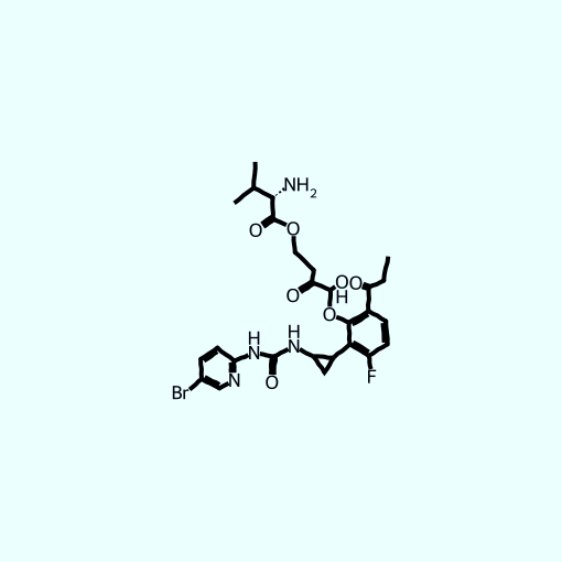 CCC(=O)c1ccc(F)c(C2CC2NC(=O)Nc2ccc(Br)cn2)c1OC(O)C(=O)CCOC(=O)[C@@H](N)C(C)C